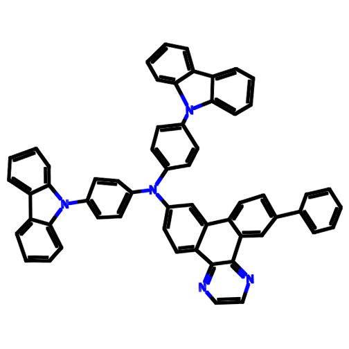 c1ccc(-c2ccc3c4cc(N(c5ccc(-n6c7ccccc7c7ccccc76)cc5)c5ccc(-n6c7ccccc7c7ccccc76)cc5)ccc4c4nccnc4c3c2)cc1